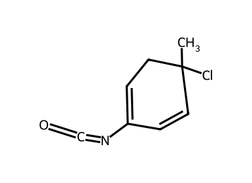 CC1(Cl)C=CC(N=C=O)=CC1